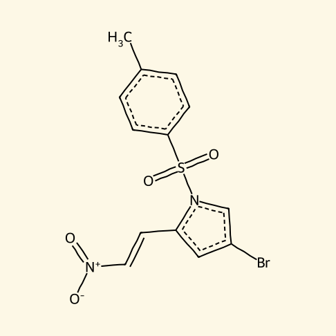 Cc1ccc(S(=O)(=O)n2cc(Br)cc2/C=C/[N+](=O)[O-])cc1